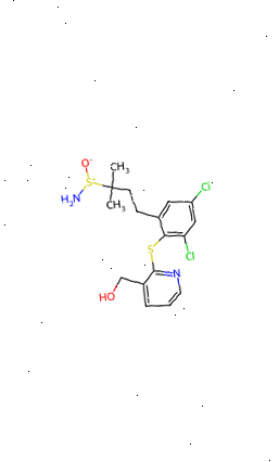 CC(C)(CCc1cc(Cl)cc(Cl)c1Sc1ncccc1CO)[S+](N)[O-]